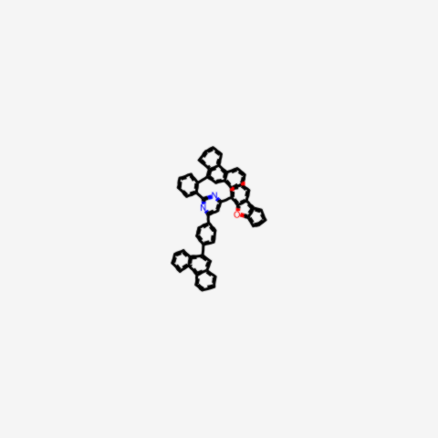 c1ccc(-c2cc3ccccc3c3ccccc23)c(-c2nc(-c3ccc(-c4cc5ccccc5c5ccccc45)cc3)cc(-c3cccc4c3oc3ccccc34)n2)c1